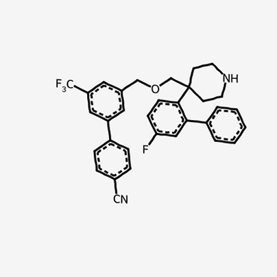 N#Cc1ccc(-c2cc(COCC3(c4ccc(F)cc4-c4ccccc4)CCNCC3)cc(C(F)(F)F)c2)cc1